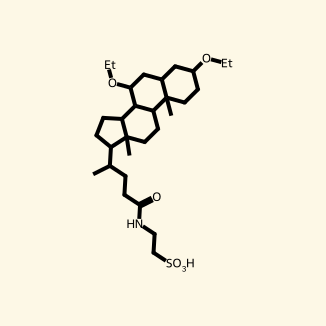 CCOC1CCC2(C)C(C1)CC(OCC)C1C2CCC2(C)C(C(C)CCC(=O)NCCS(=O)(=O)O)CCC12